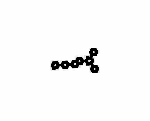 c1ccc(-c2nc(-c3ccccc3)nc(-c3ccc4cc(-c5ccc(-c6cccnc6)cc5)ccc4c3)n2)cc1